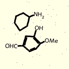 COc1ccc(C=O)cc1O.NC1CCCCC1